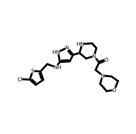 O=C(CN1CCOCC1)N1CCNC(c2cc(NCc3ccc(Cl)s3)[nH]n2)C1